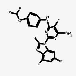 Cc1nc2c(F)cc(F)cc2n1-c1nc(N)c(F)c(Nc2ccc(OC(F)F)cc2)n1